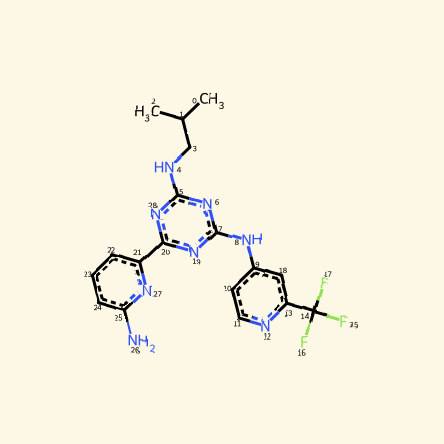 CC(C)CNc1nc(Nc2ccnc(C(F)(F)F)c2)nc(-c2cccc(N)n2)n1